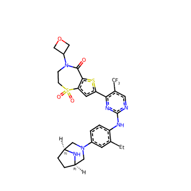 CCc1cc(N2C[C@H]3CC[C@@H](C2)N3)ccc1Nc1ncc(C(F)(F)F)c(-c2cc3c(s2)C(=O)N(C2COC2)CCS3(=O)=O)n1